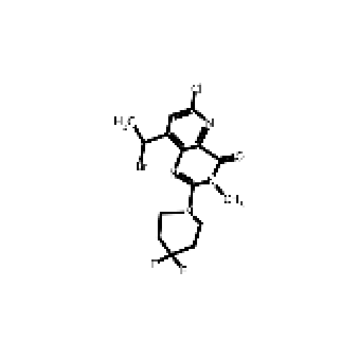 CC(Br)c1cc(Cl)nc2c(=O)n(C)c(N3CCC(F)(F)CC3)nc12